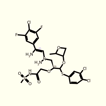 CC1OCC1OC(Sc1ccc(Cl)c(Cl)c1)[C@H](CN(N)/C=C(\N)c1cc(F)c(Cl)c(F)c1)OCC(=O)NS(C)(=O)=O